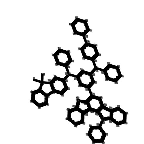 CC1(C)c2ccccc2-c2ccc(N(c3ccccc3)c3cc(-c4cc5c6ccccc6n(-c6ccccc6)c5c5c4oc4ccccc45)cc(N(c4ccccc4)c4ccc(-c5ccccc5)cc4)c3)cc21